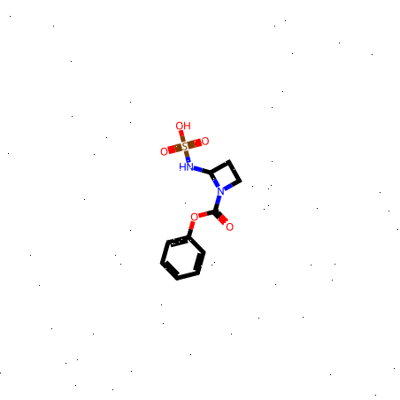 O=C(Oc1ccccc1)N1CCC1NS(=O)(=O)O